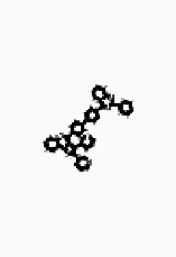 c1ccc(-c2nc(-c3ccc(-c4ccc(-c5nc6ccccc6c6sc(-c7cccnc7)c(-c7cccnc7)c56)cc4)cc3)c3ccccc3n2)cc1